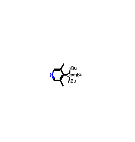 CCC[CH2][Sn]([CH2]CCC)([CH2]CCC)[c]1c(C)cncc1C